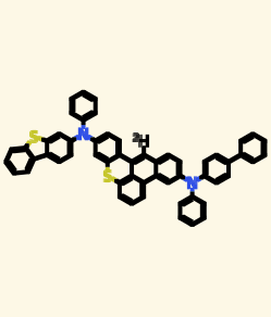 [2H]c1c2c3c(cccc3c3cc(N(c4ccccc4)c4ccc(-c5ccccc5)cc4)ccc13)Sc1cc(N(c3ccccc3)c3ccc4c(c3)sc3ccccc34)ccc1-2